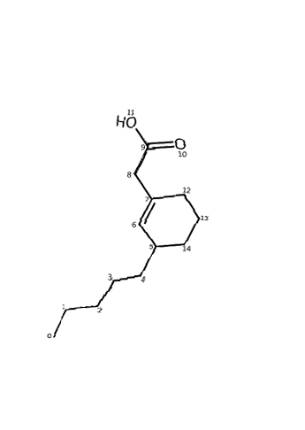 CCCCCC1C=C(CC(=O)O)CCC1